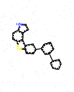 c1ccc(-c2cccc(-c3ccc4sc5ccc6[nH]ccc6c5c4c3)c2)cc1